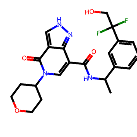 CC(NC(=O)c1cn(C2CCOCC2)c(=O)c2c[nH]nc12)c1cccc(C(F)(F)CO)c1